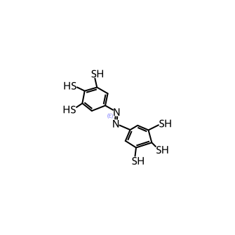 Sc1cc(/N=N/c2cc(S)c(S)c(S)c2)cc(S)c1S